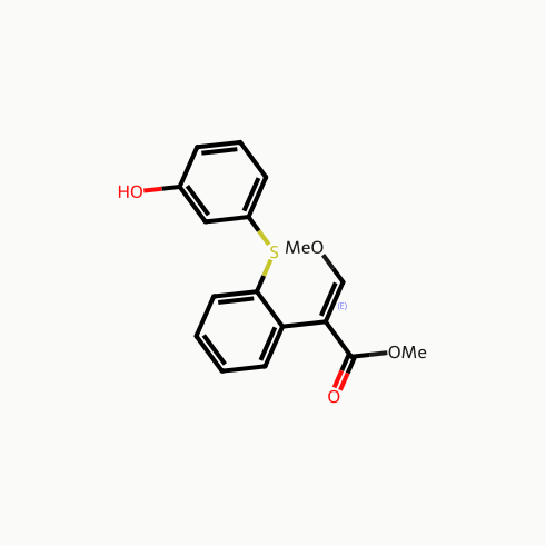 CO/C=C(/C(=O)OC)c1ccccc1Sc1cccc(O)c1